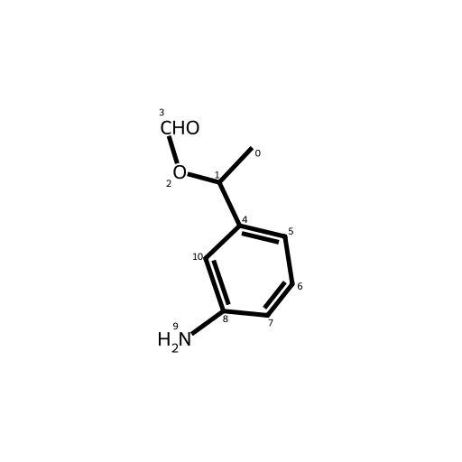 CC(OC=O)c1cccc(N)c1